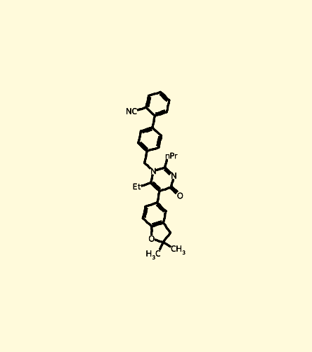 CCCc1nc(=O)c(-c2ccc3c(c2)CC(C)(C)O3)c(CC)n1Cc1ccc(-c2ccccc2C#N)cc1